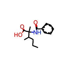 CCCC(C)C(C)(NC(=O)c1ccccc1)C(=O)O